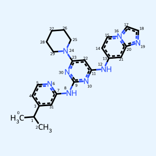 CC(C)c1ccnc(Nc2nc(Nc3ccn4ccnc4c3)cc(N3CCCCC3)n2)c1